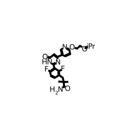 CC(C)OCCOc1ccc(-c2cc(=O)[nH]c(-c3c(F)ccc(CC(C)(C)C(N)=O)c3F)n2)cn1